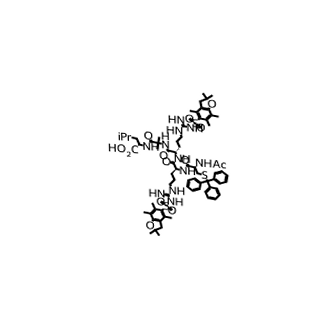 CC(=O)N[C@@H](CSC(c1ccccc1)(c1ccccc1)c1ccccc1)C(=O)N[C@@H](CCCNC(=N)NS(=O)(=O)c1c(C)c(C)c2c(c1C)CC(C)(C)O2)C(=O)N[C@@H](CCCNC(=N)NS(=O)(=O)c1c(C)c(C)c2c(c1C)CC(C)(C)O2)C(=O)NC(C)(C)C(=O)N[C@@H](CC(C)C)C(=O)O